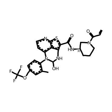 C=CC(=O)N1CCC[C@@H](NC(=O)c2sc3nccc4c3c2NC(O)N4c2ccc(OC(F)(F)F)cc2C)C1